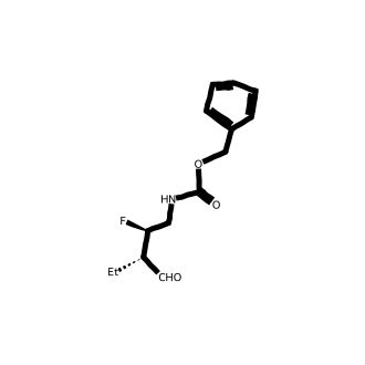 CC[C@@H](C=O)[C@@H](F)CNC(=O)OCc1ccccc1